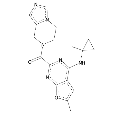 Cc1cc2c(NC3(C)CC3)nc(C(=O)N3CCn4cncc4C3)nc2o1